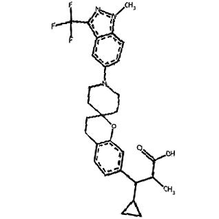 CC(C(=O)O)C(c1ccc2c(c1)OC1(CC2)CCN(c2ccc3c(c2)c(C(F)(F)F)nn3C)CC1)C1CC1